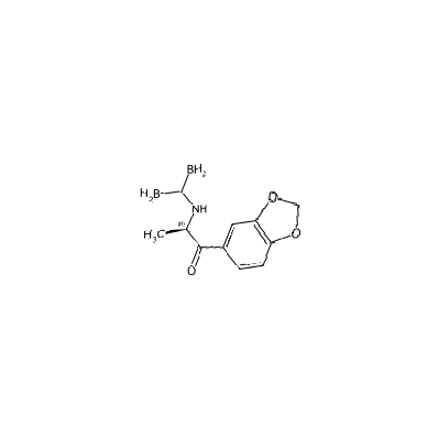 BC(B)N[C@H](C)C(=O)c1ccc2c(c1)OCO2